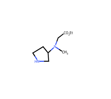 CCOC(=O)CN(C)C1CCNC1